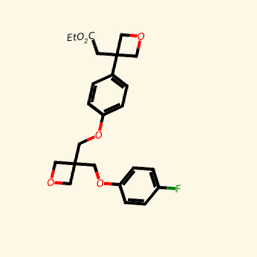 CCOC(=O)CC1(c2ccc(OCC3(COc4ccc(F)cc4)COC3)cc2)COC1